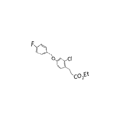 CCOC(=O)CCc1ccc(OCc2ccc(F)cc2)cc1Cl